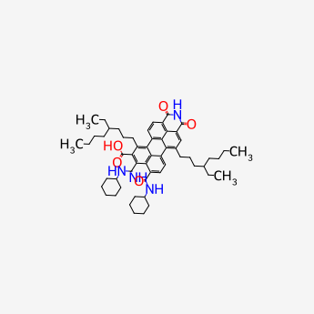 CCCCC(CC)CCCc1cc2c3c(ccc4c5c(CCCC(CC)CCCC)c(C(=O)O)c(C(=N)NC6CCCCC6)c6c(C(=O)NC7CCCCC7)ccc(c1c34)c65)C(=O)NC2=O